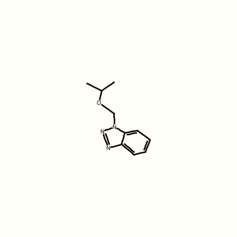 CC(C)OCn1nnc2ccccc21